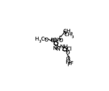 CCOCCOc1cc2ncnc(Nc3ccc(OCCOCC(F)(F)F)c(Cl)c3)c2cc1NC(=O)/C=C/CN(C)C